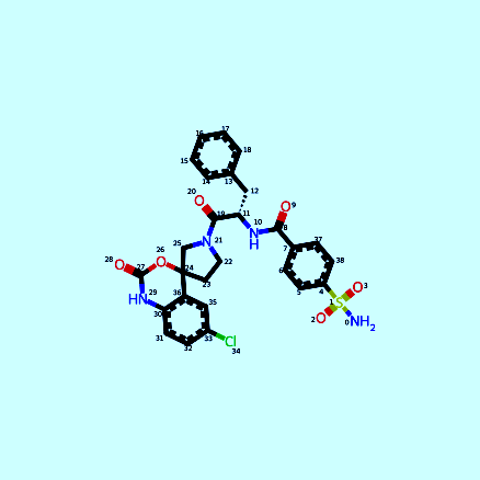 NS(=O)(=O)c1ccc(C(=O)N[C@@H](Cc2ccccc2)C(=O)N2CCC3(C2)OC(=O)Nc2ccc(Cl)cc23)cc1